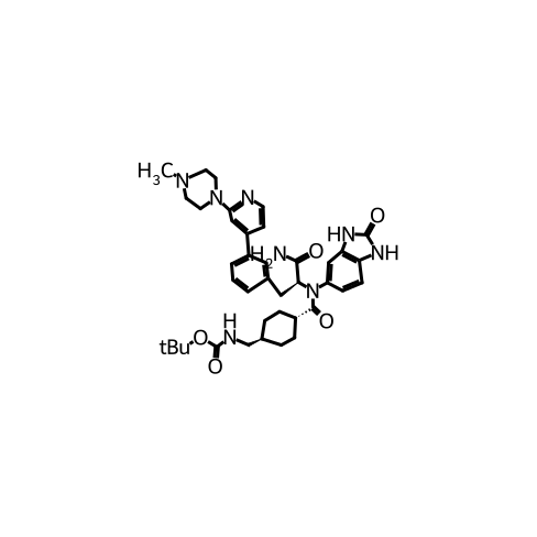 CN1CCN(c2cc(-c3cccc(C[C@@H](C(N)=O)N(c4ccc5[nH]c(=O)[nH]c5c4)C(=O)[C@H]4CC[C@H](CNC(=O)OC(C)(C)C)CC4)c3)ccn2)CC1